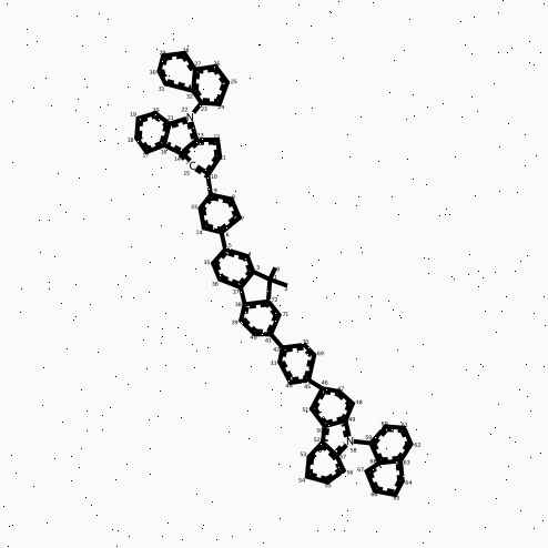 CC1(C)c2cc(-c3ccc(-c4ccc5c(c4)c4ccccc4n5-c4cccc5ccccc45)cc3)ccc2-c2ccc(-c3ccc(-c4ccc5c(c4)c4ccccc4n5-c4cccc5ccccc45)cc3)cc21